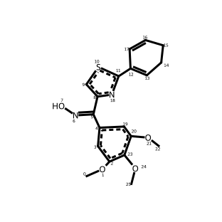 COc1cc(C(=NO)c2csc(C3=CCCC=C3)n2)cc(OC)c1OC